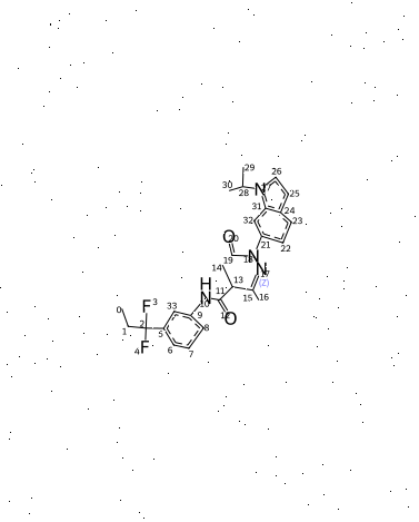 CCC(F)(F)c1cccc(NC(=O)C(C)/C(C)=N\N(C=O)c2ccc3ccn(C(C)C)c3c2)c1